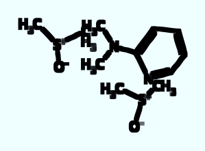 CN(C)c1ccccn1.C[S+](C)[O-].C[S+](C)[O-]